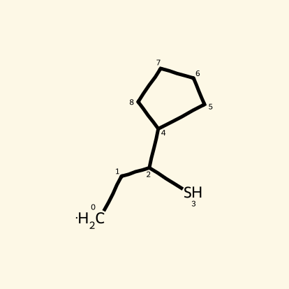 [CH2]CC(S)C1CCCC1